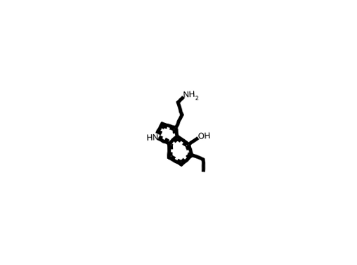 CCc1ccc2[nH]cc(CCN)c2c1O